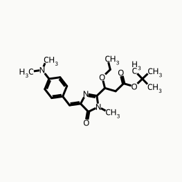 CCOC(CC(=O)OC(C)(C)C)C1=N/C(=C\c2ccc(N(C)C)cc2)C(=O)N1C